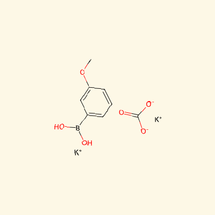 COc1cccc(B(O)O)c1.O=C([O-])[O-].[K+].[K+]